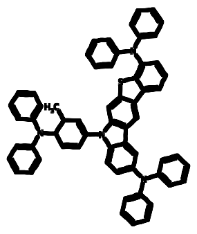 CC1C=C(n2c3ccc(N(c4ccccc4)c4ccccc4)cc3c3cc4c(cc32)sc2c(N(c3ccccc3)c3ccccc3)cccc24)C=CC1N(c1ccccc1)c1ccccc1